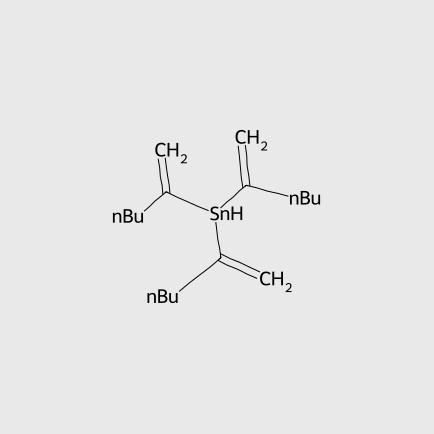 C=[C](CCCC)[SnH]([C](=C)CCCC)[C](=C)CCCC